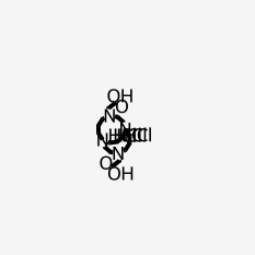 Cl.Cl.Cl.Cl.O=C(O)CN1CCCN2CCCN(CCCN(CC(=O)O)CC2)CC1